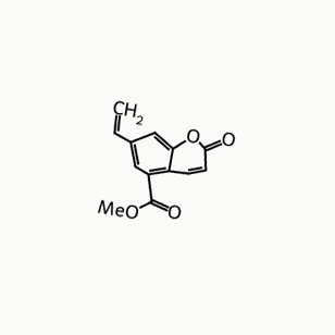 C=Cc1cc(C(=O)OC)c2ccc(=O)oc2c1